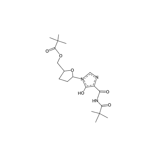 CC(C)(C)C(=O)NC(=O)c1ncn(C2CCC(COC(=O)C(C)(C)C)O2)c1O